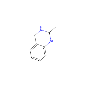 [CH2]C1NCc2ccccc2N1